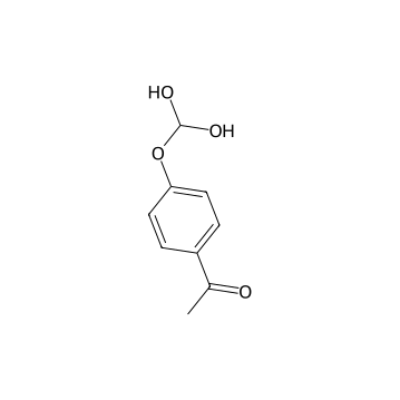 CC(=O)c1ccc(OC(O)O)cc1